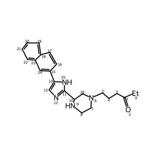 CCC(=O)CCCN1CCNC(c2ncc(-c3ccc4ccccc4c3)[nH]2)C1